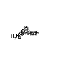 NC(=O)c1ccc(Oc2ccc(CNC3Cc4ccc(F)cc4C3)c3ccccc23)nc1